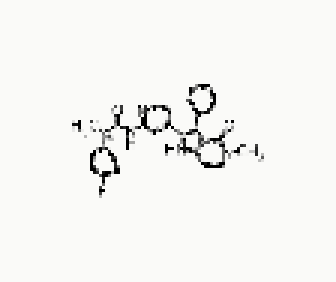 C[C@@H](C(=O)Nc1cc(-c2[nH]c3ccn(C)c(=O)c3c2-c2ccccc2)ccn1)c1ccc(F)cc1